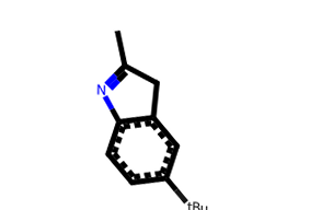 CC1=Nc2ccc(C(C)(C)C)cc2C1